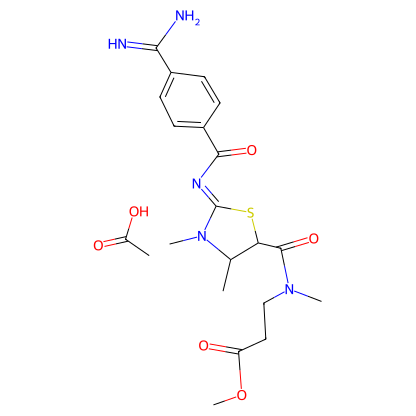 CC(=O)O.COC(=O)CCN(C)C(=O)C1SC(=NC(=O)c2ccc(C(=N)N)cc2)N(C)C1C